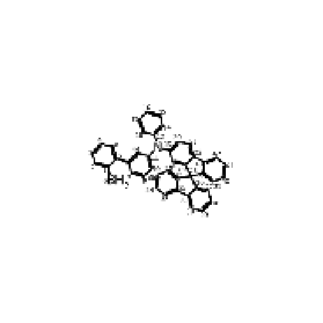 Bc1ccccc1-c1cccc(N(c2ccccc2)c2ccc3c(c2)C2(c4ccccc4-c4ccccc42)c2ccccc2-3)c1